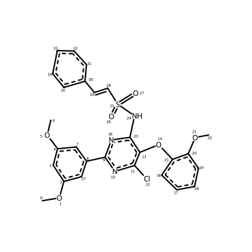 COc1cc(OC)cc(-c2nc(Cl)c(Oc3ccccc3OC)c(NS(=O)(=O)C=Cc3ccccc3)n2)c1